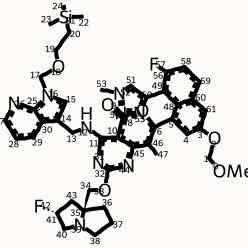 COCOc1cc(-c2oc(=O)c3c(NCc4cn(COCC[Si](C)(C)C)c5ncccc45)nc(OC[C@@]45CCCN4C[C@H](F)C5)nc3c2C)c2c(-c3cn(C)nn3)c(F)ccc2c1